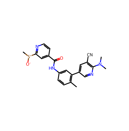 Cc1ccc(NC(=O)c2ccnc([S+](C)[O-])c2)cc1-c1cnc(N(C)C)c(C#N)c1